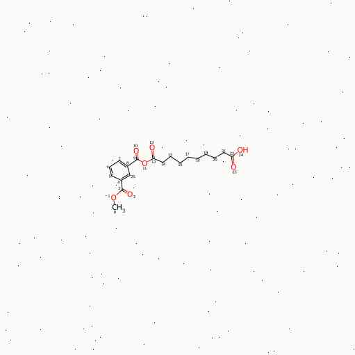 COC(=O)c1cccc(C(=O)OC(=O)CCCCCCCCC(=O)O)c1